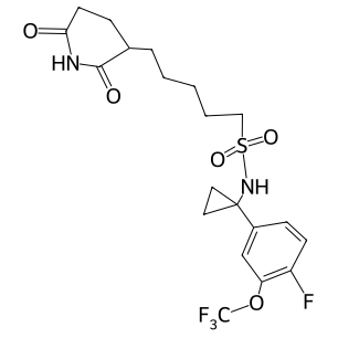 O=C1CCC(CCCCCS(=O)(=O)NC2(c3ccc(F)c(OC(F)(F)F)c3)CC2)C(=O)N1